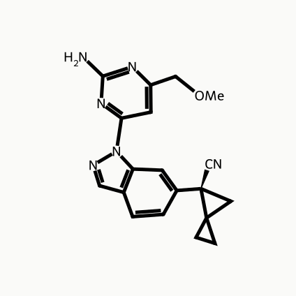 COCc1cc(-n2ncc3ccc([C@]4(C#N)CC45CC5)cc32)nc(N)n1